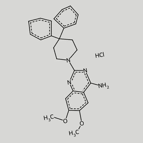 COc1cc2nc(N3CCC(c4ccccc4)(c4ccccc4)CC3)nc(N)c2cc1OC.Cl